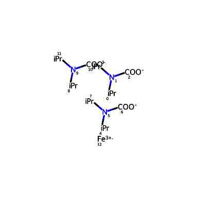 CC(C)N(C(=O)[O-])C(C)C.CC(C)N(C(=O)[O-])C(C)C.CC(C)N(C(=O)[O-])C(C)C.[Fe+3]